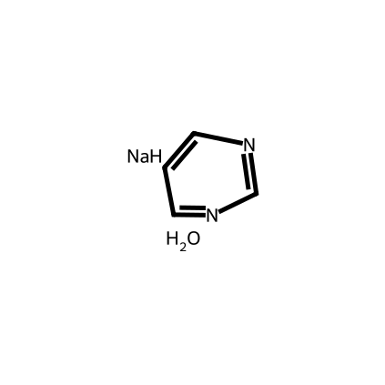 O.[NaH].c1cncnc1